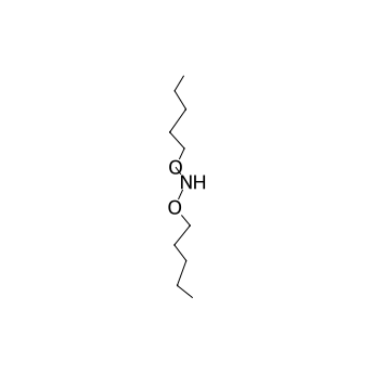 CCCCCONOCCCCC